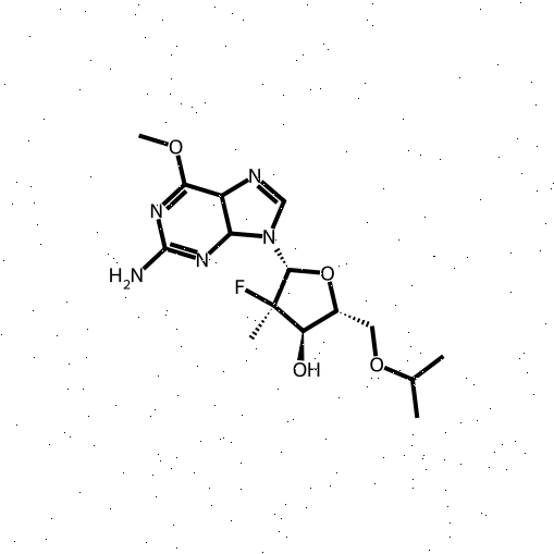 COC1=NC(N)=NC2C1N=CN2[C@@H]1O[C@H](COC(C)C)[C@@H](O)[C@@]1(C)F